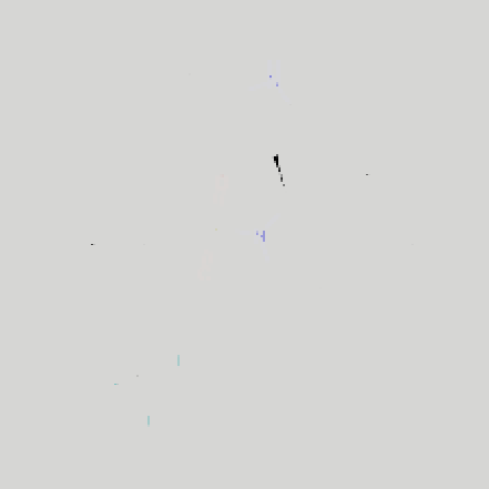 O=S(=O)(Cc1cccc(C(F)(F)F)c1)N1CCc2ccccc2[C@@H]1C1CNc2ccccc21